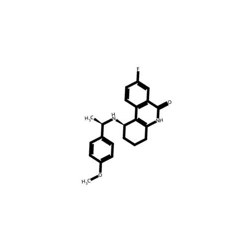 COc1ccc([C@@H](C)N[C@@H]2CCCc3[nH]c(=O)c4cc(F)ccc4c32)cc1